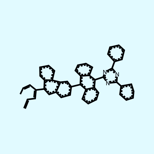 C=C/C=C(\C=C/C)c1cc2ccc(-c3c4ccccc4c(-c4nc(-c5ccccc5)nc(-c5ccccc5)n4)c4ccccc34)cc2c2ccccc12